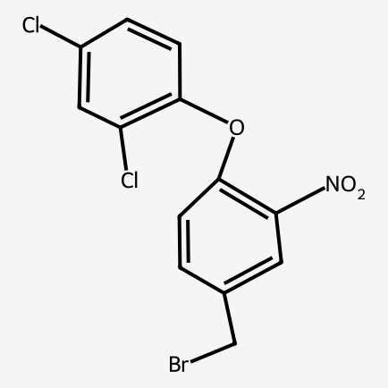 O=[N+]([O-])c1cc(CBr)ccc1Oc1ccc(Cl)cc1Cl